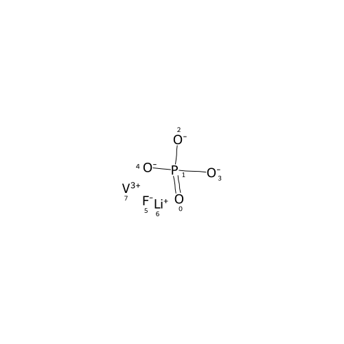 O=P([O-])([O-])[O-].[F-].[Li+].[V+3]